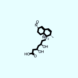 C[C@H]1C=CC2=C[C@@H](N=O)CC[C@]2(N)[C@H]1CC[C@@H](O)C[C@@H](O)CC(=O)O